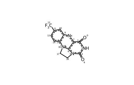 O=c1[nH]c(=O)n2c3c1nc1cc(C(F)(F)F)ccc1[n+]3CC2